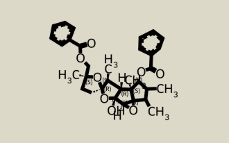 CC1C(C)[C@]23O[C@H]2[C@]2(O)O[C@]4(CC[C@@](C)(COC(=O)c5ccccc5)O4)[C@@H](C)[C@@H]2[C@@]3(C)[C@@H]1OC(=O)c1ccccc1